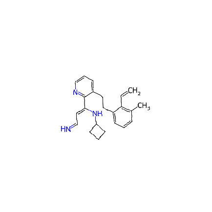 C=Cc1c(C)cccc1CCc1cccnc1/C(=C/C=N)NC1CCC1